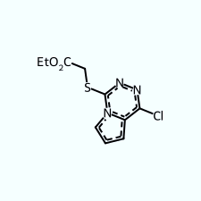 CCOC(=O)CSc1nnc(Cl)c2cccn12